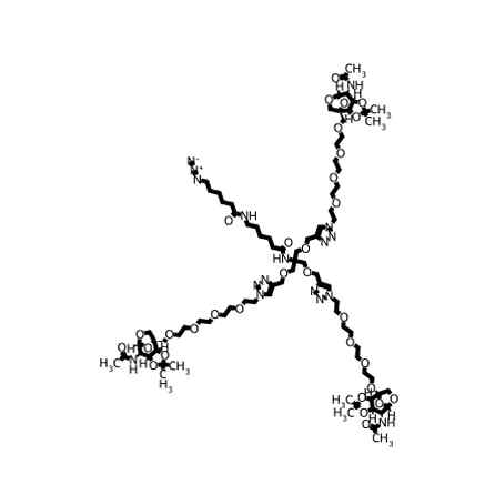 CC(=O)N[C@H]1[C@H]2OC[C@](COCCOCCOCCOCCn3cc(COCC(COCc4cn(CCOCCOCCOCCOC[C@@]56CO[C@@H](O5)[C@H](NC(C)=O)[C@H]5OC(C)(C)O[C@H]56)nn4)(COCc4cn(CCOCCOCCOCCO[C@@]56CO[C@@H](O5)[C@H](NC(C)=O)[C@H]5OC(C)(C)O[C@H]56)nn4)NC(=O)CCCCCNC(=O)CCCCCN=[N+]=[N-])nn3)(O2)[C@@H]2OC(C)(C)O[C@H]12